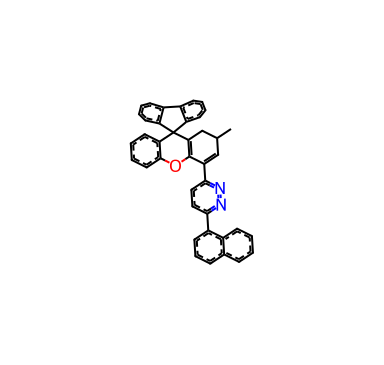 CC1C=C(c2ccc(-c3cccc4ccccc34)nn2)C2=C(C1)C1(c3ccccc3O2)c2ccccc2-c2ccccc21